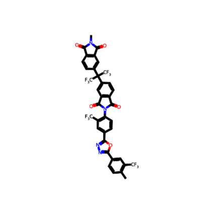 Cc1ccc(-c2nnc(-c3ccc(N4C(=O)c5ccc(C(c6ccc7c(c6)C(=O)N(C)C7=O)(C(F)(F)F)C(F)(F)F)cc5C4=O)c(C(F)(F)F)c3)o2)cc1C(F)(F)F